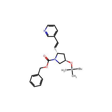 CC(C)(C)[Si](C)(C)O[C@@H]1C[C@@H](/C=C/c2cccnc2)N(C(=O)OCc2ccccc2)C1